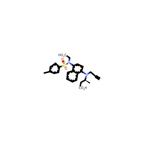 C#CCN(c1ccc(N(CC(=O)O)S(=O)(=O)c2ccc(C)cc2)c2ccccc12)[C@@H](C)CC(=O)O